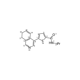 CC(C)NC(=O)c1ccc(-c2cncc3c2C=CCC3)s1